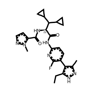 CCc1[nH]nc(C)c1-c1ccc(NC(=O)[C@@H](NC(=O)c2ccnn2C)C(C2CC2)C2CC2)nc1F